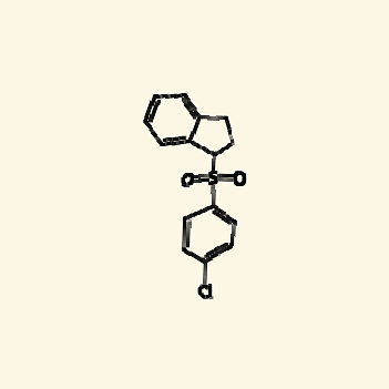 O=S(=O)(c1ccc(Cl)cc1)C1CCc2ccccc21